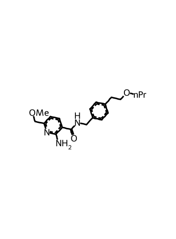 CCCOCCc1ccc(CNC(=O)c2ccc(COC)nc2N)cc1